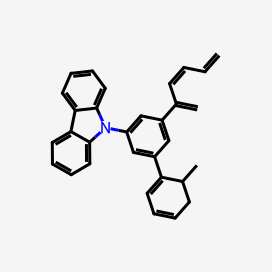 C=C/C=C\C(=C)c1cc(C2=CC=CCC2C)cc(-n2c3ccccc3c3ccccc32)c1